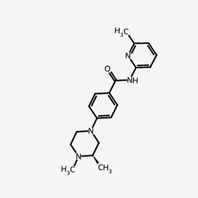 Cc1cccc(NC(=O)c2ccc(N3CCN(C)[C@H](C)C3)cc2)n1